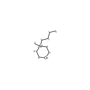 CCCC[N+]1(C)CCOCC1